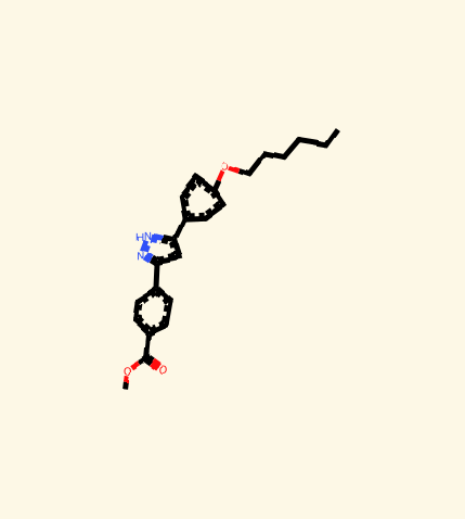 CCCCCCOc1ccc(-c2cc(-c3ccc(C(=O)OC)cc3)n[nH]2)cc1